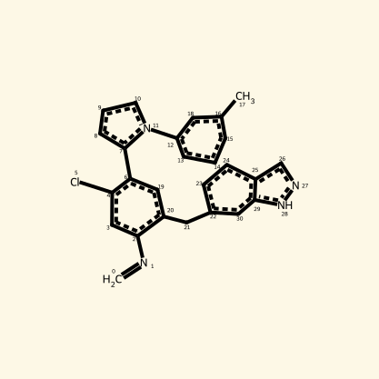 C=Nc1cc(Cl)c(-c2cccn2-c2cccc(C)c2)cc1Cc1ccc2cn[nH]c2c1